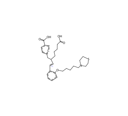 O=C(O)CCCCC(/C=C/c1ccccc1OCCCCCN1CCSCC1)Cc1ccc(C(=O)O)cc1